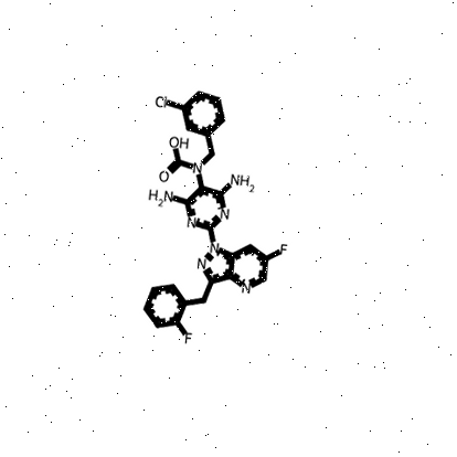 Nc1nc(-n2nc(Cc3ccccc3F)c3ncc(F)cc32)nc(N)c1N(Cc1cccc(Cl)c1)C(=O)O